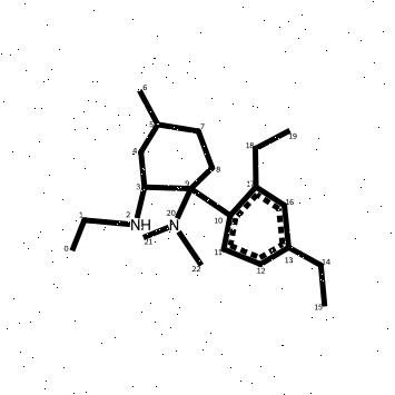 CCNC1CC(C)CCC1(c1ccc(CC)cc1CC)N(C)C